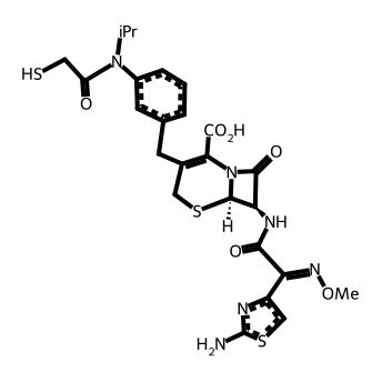 CON=C(C(=O)N[C@@H]1C(=O)N2C(C(=O)O)=C(Cc3cccc(N(C(=O)CS)C(C)C)c3)CS[C@H]12)c1csc(N)n1